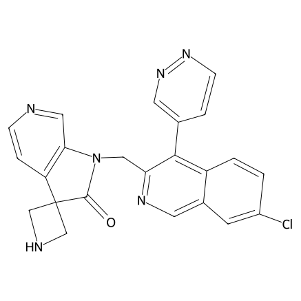 O=C1N(Cc2ncc3cc(Cl)ccc3c2-c2ccnnc2)c2cnccc2C12CNC2